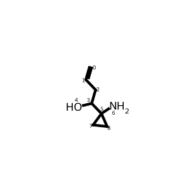 C=CCC(O)C1(N)CC1